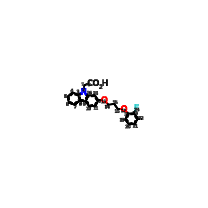 O=C(O)Cn1c2ccccc2c2ccc(OCCCOc3ccccc3F)cc21